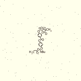 C=CC(=O)OC(CCCC)Oc1ccc(OC(=O)c2ccc(OC(CCCCCCCC)C3CC(=C)C(=O)O3)cc2)cc1